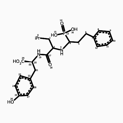 CC(C)CC(NC(CCc1ccccc1)P(=O)(O)O)C(=O)N[C@@H](Cc1ccc(O)cc1)C(=O)O